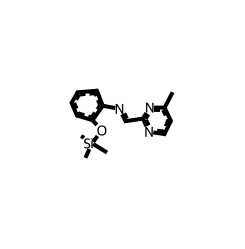 Cc1ccnc(C=Nc2ccccc2O[Si](C)(C)C)n1